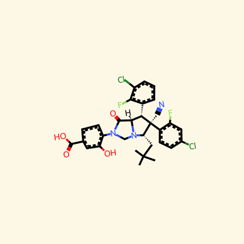 CC(C)(C)C[C@@H]1N2CN(c3ccc(C(=O)O)cc3O)C(=O)[C@H]2[C@H](c2cccc(Cl)c2F)[C@@]1(C#N)c1ccc(Cl)cc1F